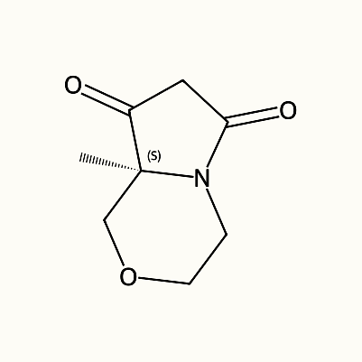 C[C@@]12COCCN1C(=O)CC2=O